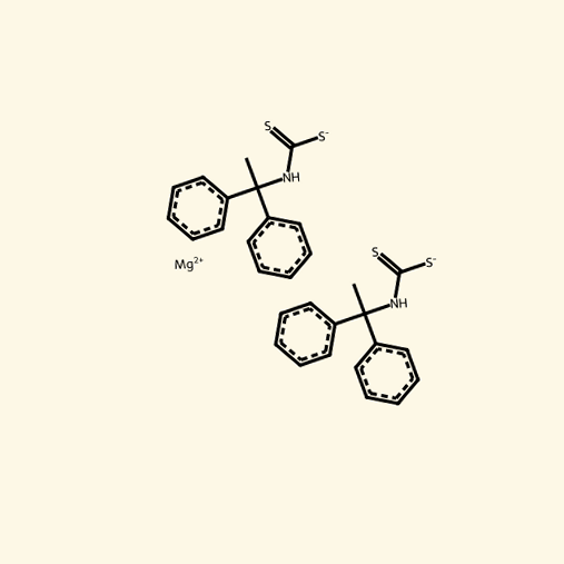 CC(NC(=S)[S-])(c1ccccc1)c1ccccc1.CC(NC(=S)[S-])(c1ccccc1)c1ccccc1.[Mg+2]